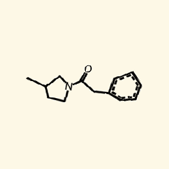 CC1CCN(C(=O)Cc2ccccc2)C1